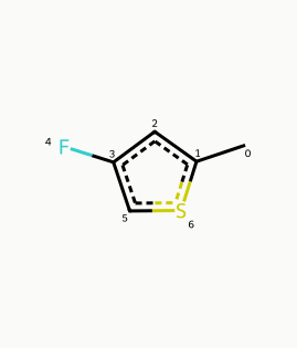 Cc1cc(F)cs1